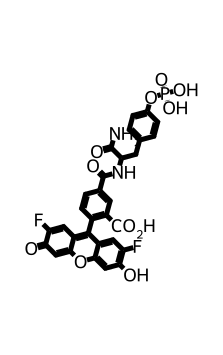 NC(=O)C(Cc1ccc(OP(=O)(O)O)cc1)NC(=O)c1ccc(-c2c3cc(F)c(=O)cc-3oc3cc(O)c(F)cc23)c(C(=O)O)c1